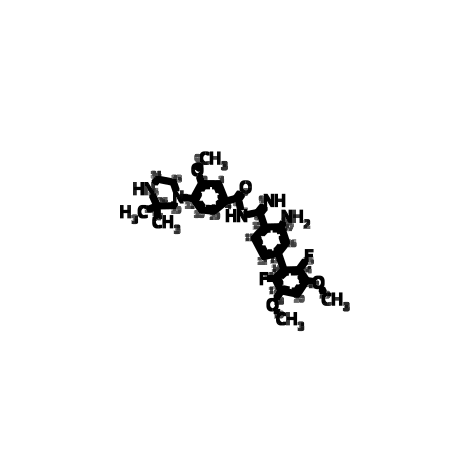 COc1cc(C(=O)NC(=N)c2ccc(-c3c(F)c(OC)cc(OC)c3F)cc2N)ccc1N1CCNC(C)(C)C1